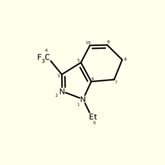 CCn1nc(C(F)(F)F)c2c1CCC=C2